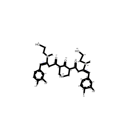 CN(CCO)/C(=C/c1ccc(F)c(F)c1)CC(=O)C1CNCC(C(=O)C/C(=C\c2ccc(F)c(F)c2)N(C)CCO)C1=O